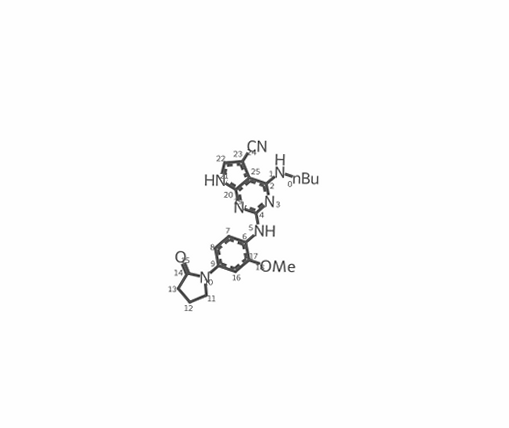 CCCCNc1nc(Nc2ccc(N3CCCC3=O)cc2OC)nc2[nH]cc(C#N)c12